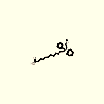 COCC[PH](CCCCCCCCCCCC(=O)O)(c1ccccc1)c1ccccc1